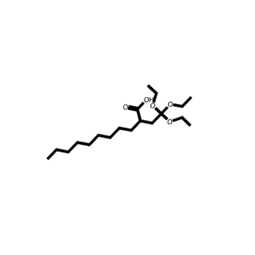 CCCCCCCCCC(CC(OCC)(OCC)OCC)C(=O)O